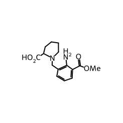 COC(=O)c1cccc(CN2CCCCC2C(=O)O)c1N